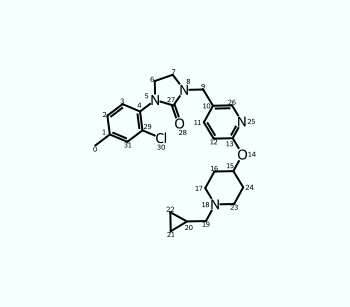 Cc1ccc(N2CCN(Cc3ccc(OC4CCN(CC5CC5)CC4)nc3)C2=O)c(Cl)c1